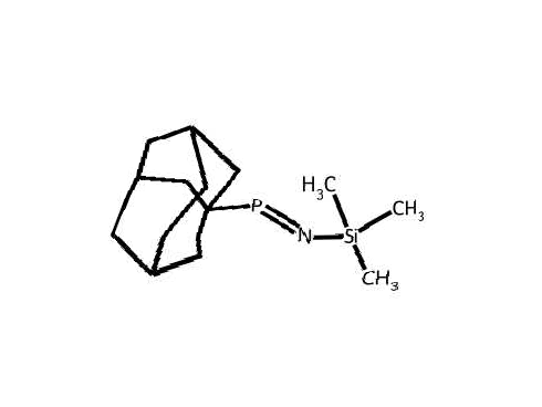 C[Si](C)(C)N=PC12CC3CC(CC(C3)C1)C2